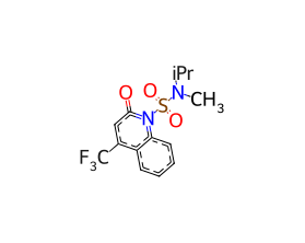 CC(C)N(C)S(=O)(=O)n1c(=O)cc(C(F)(F)F)c2ccccc21